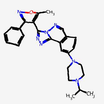 Cc1onc(-c2ccccc2)c1-c1nnc2c3cc(N4CCN(C(C)C)CC4)ccc3cnn12